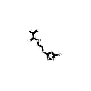 C=C(C)C(=O)NCCSc1nnc(S)s1